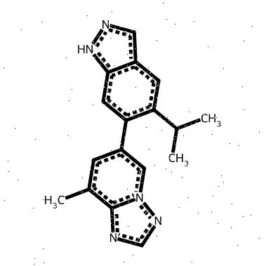 Cc1cc(-c2cc3[nH]ncc3cc2C(C)C)cn2ncnc12